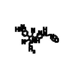 CC1=C(C#N)C(c2ccc3[nH]ncc3c2)C(C#N)=C(c2ccc(NCCN3CCOCC3)nc2)N1